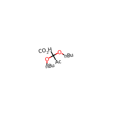 CCCCOC(OCCCC)(C(C)=O)C(=O)O